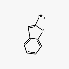 Nc1cc2c[c]ccc2s1